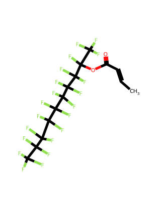 CC=CC(=O)OC(F)(C(F)(F)F)C(F)(F)C(F)(F)C(F)(F)C(F)(F)C(F)(F)C(F)(F)C(F)(F)C(F)(F)F